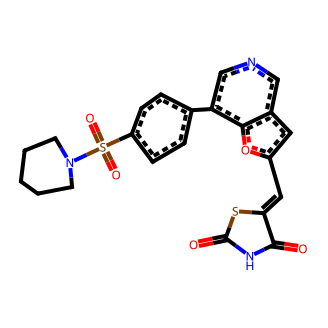 O=C1NC(=O)C(=Cc2cc3cncc(-c4ccc(S(=O)(=O)N5CCCCC5)cc4)c3o2)S1